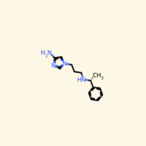 C[C@@H](NCCCn1cnc(N)c1)c1ccccc1